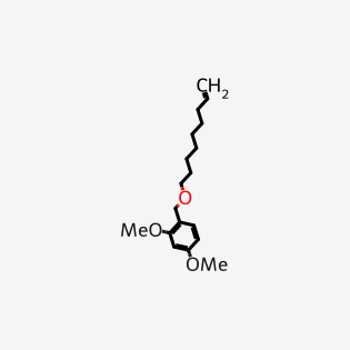 C=CCCCCCCCOCc1ccc(OC)cc1OC